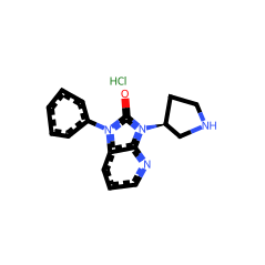 Cl.O=c1n(-c2ccccc2)c2cccnc2n1[C@H]1CCNC1